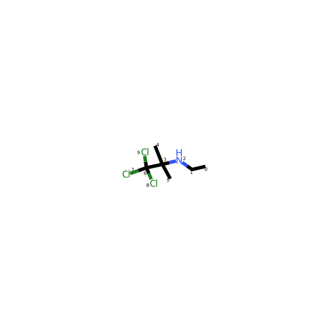 CCNC(C)(C)C(Cl)(Cl)Cl